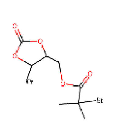 CCC(C)(C)C(=O)OCC1OC(=O)OC1C(C)C